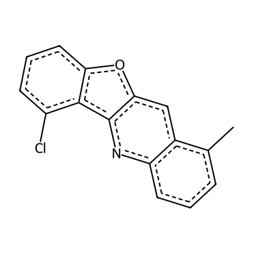 Cc1cccc2nc3c(cc12)oc1cccc(Cl)c13